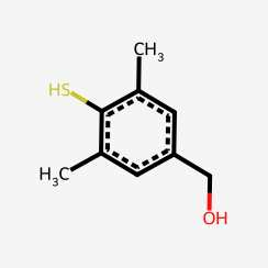 Cc1cc(CO)cc(C)c1S